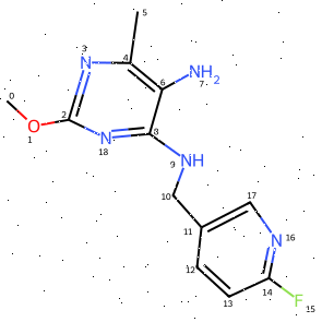 COc1nc(C)c(N)c(NCc2ccc(F)nc2)n1